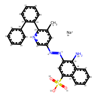 Cc1cc(N=Nc2cc(S(=O)(=O)[O-])c3ccccc3c2N)cnc1-c1ccccc1-c1ccccc1.[Na+]